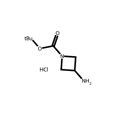 CC(C)(C)OC(=O)N1CC(N)C1.Cl